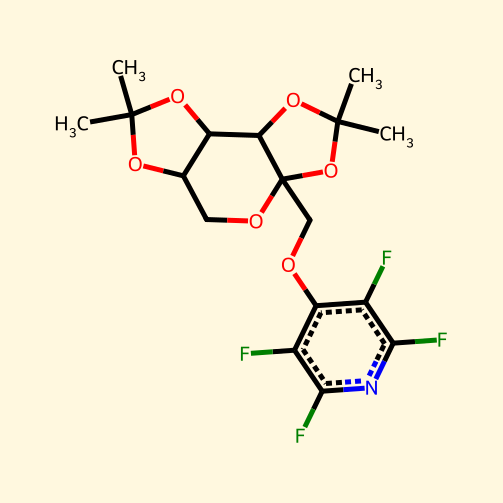 CC1(C)OC2COC3(COc4c(F)c(F)nc(F)c4F)OC(C)(C)OC3C2O1